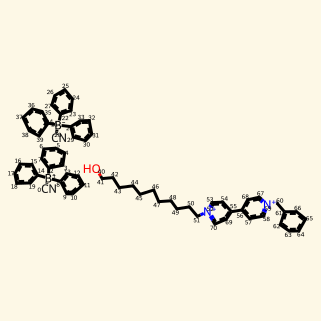 N#C[B-](c1ccccc1)(c1ccccc1)c1ccccc1.N#C[B-](c1ccccc1)(c1ccccc1)c1ccccc1.OCCCCCCCCCCC[n+]1ccc(-c2cc[n+](Cc3ccccc3)cc2)cc1